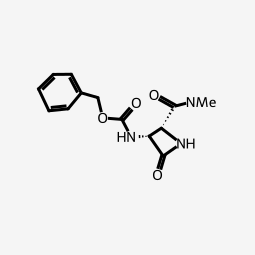 CNC(=O)[C@@H]1NC(=O)[C@@H]1NC(=O)OCc1ccccc1